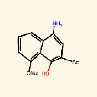 COc1cccc2c(N)cc(C(C)=O)c(O)c12